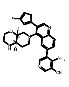 N#Cc1cncc(-c2ccc3ncc(C4=CC(F)=CC4)c(N4CC[C@H]5NCCO[C@@H]5C4)c3c2)c1N